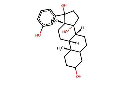 C[C@]12CCC(O)CC1CC[C@@H]1[C@H]2CC[C@]2(C)C(O)(c3cccc(O)c3)CC[C@@]12O